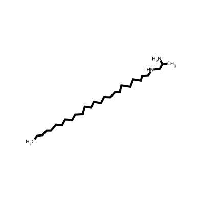 CCCCCCCCCCCCCCCCCCCCCCCCCNCC(C)N